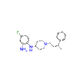 CC(CCN1CCC(Nc2ccc(F)cc2N)CC1)c1ccccc1